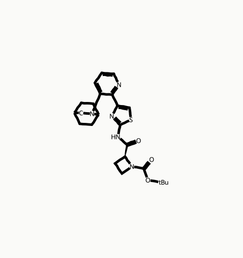 CC(C)(C)OC(=O)N1CC[C@H]1C(=O)Nc1nc(-c2ncccc2N2CC3CCC2CC3)cs1